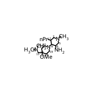 CCCC1CN(C)CC(N)C1N1CCC(CN(C)C)(OC)CC1